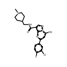 CN1CCC(CNC(=O)c2cnn3c(O)cc(-c4ccc(F)c(Cl)c4)nc23)CC1